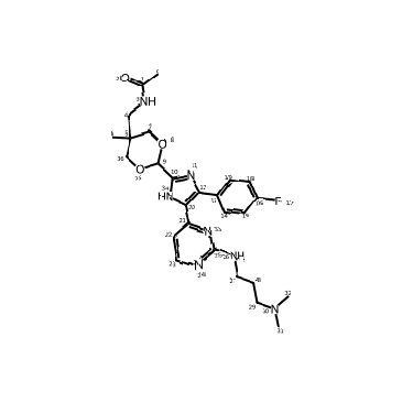 CC(=O)NCC1(C)COC(c2nc(-c3ccc(F)cc3)c(-c3ccnc(NCCCN(C)C)n3)[nH]2)OC1